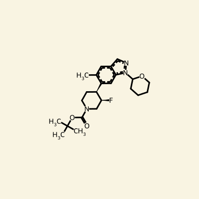 Cc1cc2cnn(C3CCCCO3)c2cc1[C@@H]1CCN(C(=O)OC(C)(C)C)C[C@@H]1F